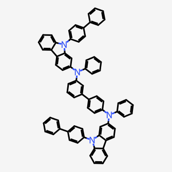 c1ccc(-c2ccc(-n3c4ccccc4c4ccc(N(c5ccccc5)c5ccc(-c6cccc(N(c7ccccc7)c7ccc8c9ccccc9n(-c9ccc(-c%10ccccc%10)cc9)c8c7)c6)cc5)cc43)cc2)cc1